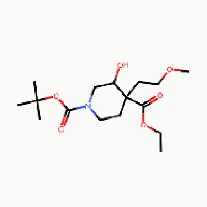 CCOC(=O)C1(CCOC)CCN(C(=O)OC(C)(C)C)CC1O